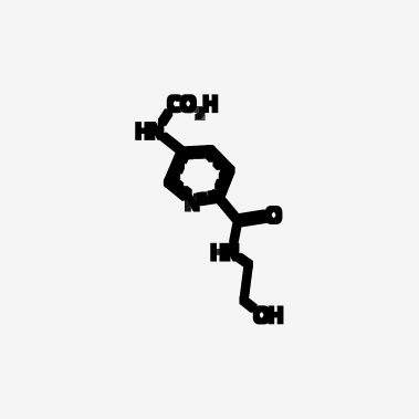 O=C(O)Nc1ccc(C(=O)NCCO)nc1